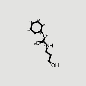 O=C(NCCCO)OC1CCCCC1